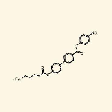 CCCCCCCCCCCCCCC(=O)Oc1ccc(-c2ccc(C(=O)Oc3ccc([N+](=O)[O-])cc3)cc2)cc1